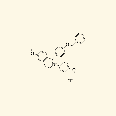 COc1ccc([N+]2=C(c3ccc(OCc4ccccc4)cc3)c3ccc(OC)cc3CC2)cc1.[Cl-]